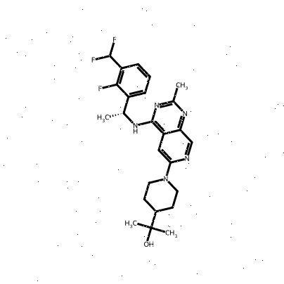 Cc1nc(N[C@H](C)c2cccc(C(F)F)c2F)c2cc(N3CCC(C(C)(C)O)CC3)ncc2n1